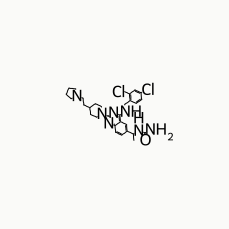 CC(NC(N)=O)c1ccc2nc(N3CCC(CCN4CCCC4)CC3)nc(NCc3ccc(Cl)cc3Cl)c2c1